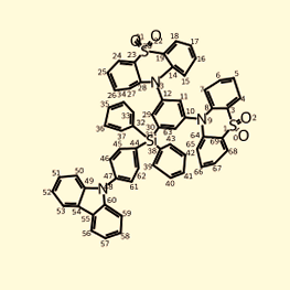 O=S1(=O)c2ccccc2N(c2cc(N3c4ccccc4S(=O)(=O)c4ccccc43)cc([Si](c3ccccc3)(c3ccccc3)c3ccc(-n4c5ccccc5c5ccccc54)cc3)c2)c2ccccc21